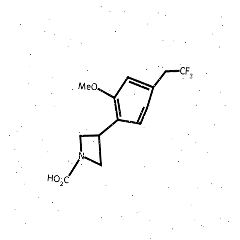 COc1cc(CC(F)(F)F)ccc1C1CN(C(=O)O)C1